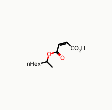 CCCCCCC(C)OC(=O)/C=C\C(=O)O